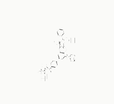 CCNC(=O)Nc1ccc(-c2cc3c(c(N4CCOCC4)c2)CCN(C(=O)C(O)c2ccccc2)C3)cc1